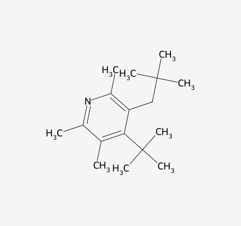 Cc1nc(C)c(CC(C)(C)C)c(C(C)(C)C)c1C